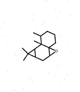 CC1CCCC23OC2CC2C(C2(C)C)C13C